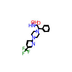 O=C(NO)C(c1ccccc1)N1CCN(c2ccc(C(F)(F)F)cn2)CC1